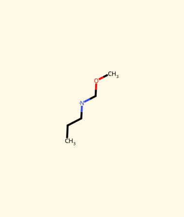 CCC[N]COC